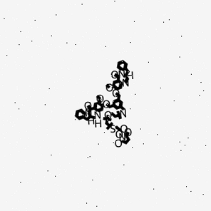 COc1cc2c(cc1OCc1cc(COc3cc4c(cc3OC)C(=O)N3c5ccccc5C[C@H]3CN4)cc(CN(C)C(C)(C)CCOC(C)(C)CC(C)(C)SCC(=O)ON3C(=O)CCC3=O)c1)N=C[C@@H]1Cc3ccccc3N1C2=O